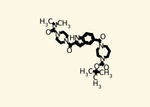 CN(C)C(=O)N1CCN(C(=O)c2cc3cc(C(=O)N4CCCN(C(=O)OC(C)(C)C)CC4)ccc3[nH]2)CC1